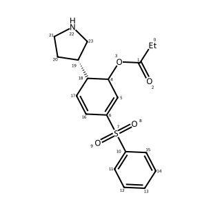 CCC(=O)OC1C=C(S(=O)(=O)c2ccccc2)C=CC1[C@@H]1CCNC1